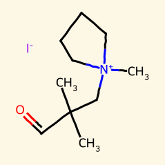 CC(C)(C=O)C[N+]1(C)CCCC1.[I-]